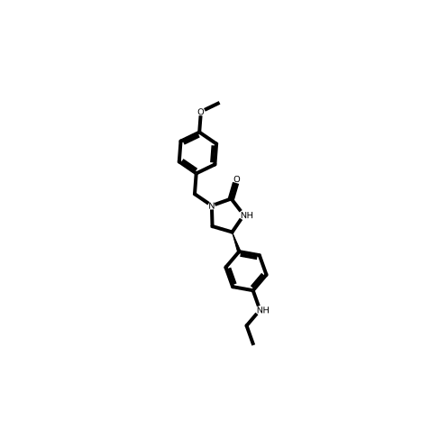 CCNc1ccc([C@H]2CN(Cc3ccc(OC)cc3)C(=O)N2)cc1